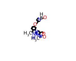 CCN1C(=O)OCc2cnc(N[C@@H](C)c3ccc(OCC4=CCN(BC=O)C4)cc3)nc21